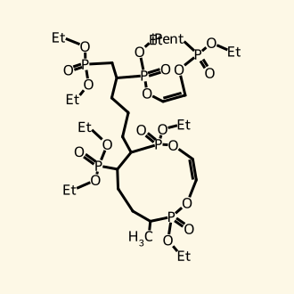 CCCC(C)P(=O)(O/C=C\OP(=O)(OCC)C(CCCC1C(P(=O)(OCC)OCC)CCC(C)P(=O)(OCC)O/C=C\OP1(=O)OCC)CP(=O)(OCC)OCC)OCC